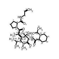 C=CCNC(=O)[C@@H]1CCCN1C(=O)/C(C)=C/[C@H](C(C)C)N(C)C(=O)[C@@H](NC(=O)C1CCCCN1C(C)C)C(C)(C)C